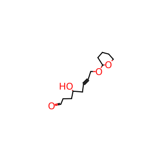 O=CCCC(O)CC#CCOC1CCCCO1